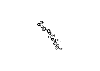 COCC(=O)N1CCN([C@H]2C[C@@H](C(=O)Nc3nc4ccc(-c5cnc(CO[C@H]6CCC[C@@H]6O)nc5)cc4s3)C2)[C@@H](C)C1